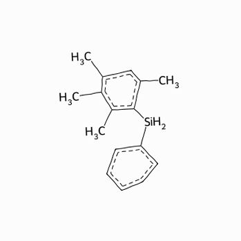 Cc1cc(C)c([SiH2]c2ccccc2)c(C)c1C